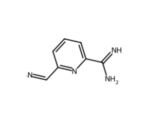 [N]=Cc1cccc(C(=N)N)n1